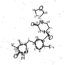 Cc1c(Cc2ccc(F)c(C(=O)N3CCN([C@@H]4CCOC4)C(=O)C3)c2)n[nH]c(=O)c1C